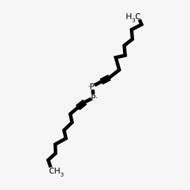 CCCCCCCCC#C[P][P]C#CCCCCCCCC